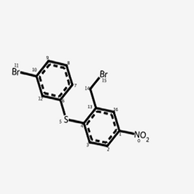 O=[N+]([O-])c1ccc(Sc2cccc(Br)c2)c(CBr)c1